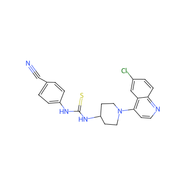 N#Cc1ccc(NC(=S)NC2CCN(c3ccnc4ccc(Cl)cc34)CC2)cc1